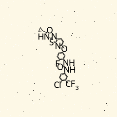 O=C(Nc1ccc(Cl)c(C(F)(F)F)c1)Nc1cc(Oc2ccc3nc(NC(=O)C4CC4)sc3n2)ccc1F